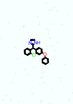 Clc1ccccc1C(c1ccc(Oc2ccccc2)cc1)c1ncc[nH]1